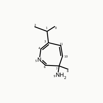 CC(C)C1=CN=CC(C)(N)C=C1